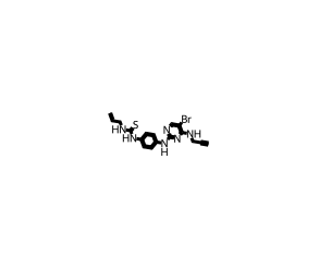 C#CCNc1nc(Nc2ccc(NC(=S)NCC=C)cc2)ncc1Br